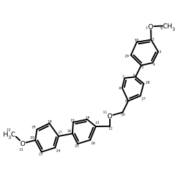 COc1ccc(-c2ccc(COCc3ccc(-c4ccc(OC)cc4)cc3)cc2)cc1